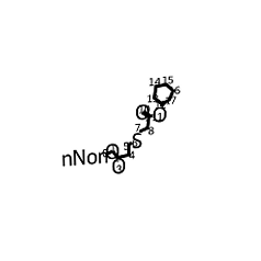 CCCCCCCCCOC(=O)CCSCCC(=O)OC1CCCCC1